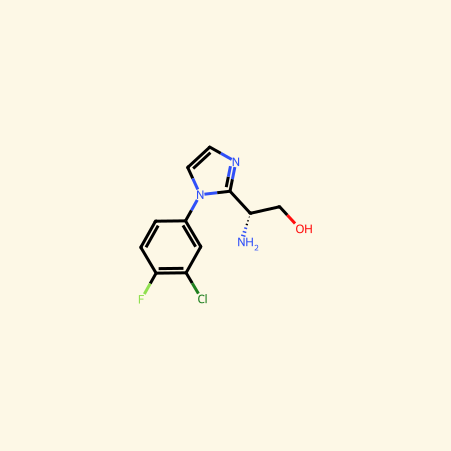 N[C@@H](CO)c1nccn1-c1ccc(F)c(Cl)c1